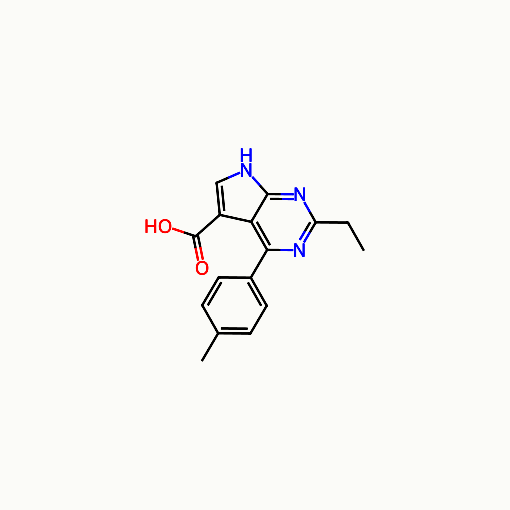 CCc1nc(-c2ccc(C)cc2)c2c(C(=O)O)c[nH]c2n1